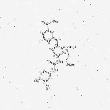 CCCCCCCCCCCCOS(=O)(=O)O.CNC(=O)c1cc(Oc2ccc(NC(=O)Nc3ccc(Cl)c(C(F)(F)F)c3)cc2)ccn1